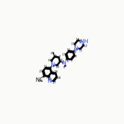 C[C@H]1C[C@@H](N(C)c2ccc(N3CCNCC3)cc2)CN(c2ccc(C#N)c3ncccc23)C1